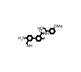 COc1cccc(C(CO)NC(=O)c2cc(-c3ccc(N)c(C=N)c3)ccc2F)c1